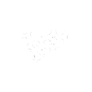 Cc1cc2c3c(c1)N(c1cccc4c1oc1ccccc14)c1c(sc4ccc5c(c14)CCCC5)B3c1ccccc1N2c1cccc2c1oc1ccccc12